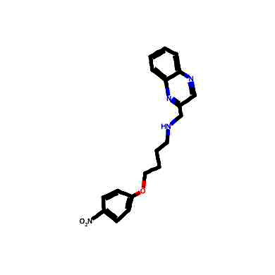 O=[N+]([O-])c1ccc(OCCCCNCc2cnc3ccccc3n2)cc1